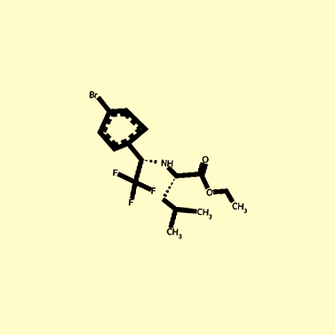 CCOC(=O)[C@H](CC(C)C)N[C@@H](c1ccc(Br)cc1)C(F)(F)F